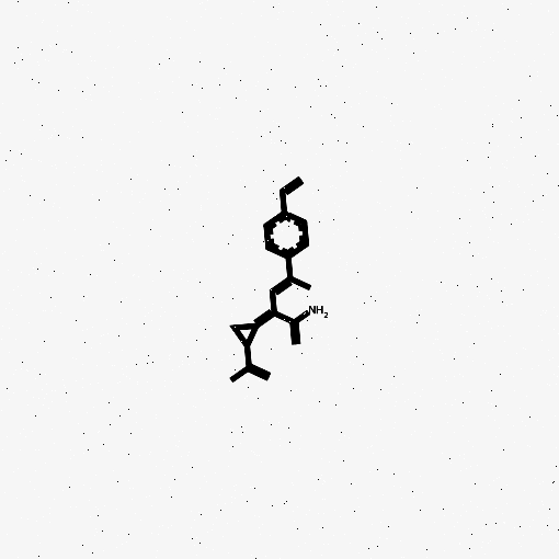 C=Cc1ccc(/C(C)=C/C(C(=C)N)=C2\CC2C(=C)C)cc1